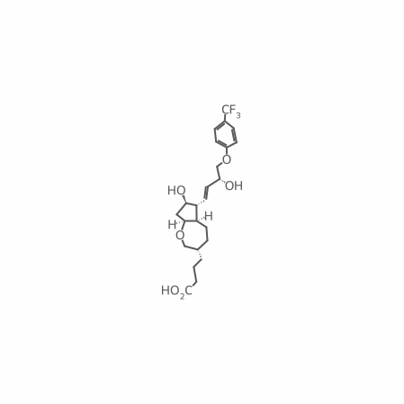 O=C(O)CCC[C@H]1CC[C@@H]2[C@@H](/C=C/[C@@H](O)COc3ccc(C(F)(F)F)cc3)[C@H](O)C[C@@H]2OC1